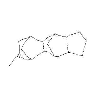 CN1CC2CC1C1C3CC(C4CCCC43)C21